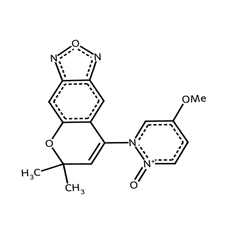 COc1cc[n+](=O)n(C2=CC(C)(C)Oc3cc4nonc4cc32)c1